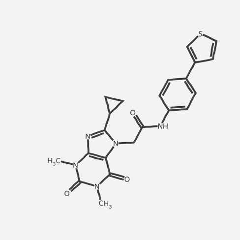 Cn1c(=O)c2c(nc(C3CC3)n2CC(=O)Nc2ccc(-c3ccsc3)cc2)n(C)c1=O